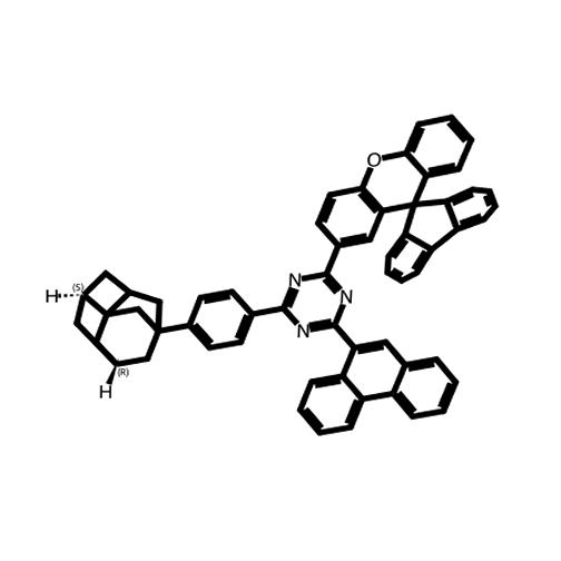 c1ccc2c(c1)Oc1ccc(-c3nc(-c4ccc(C56CC7C[C@@H]8C[C@@H](C5)CC78C6)cc4)nc(-c4cc5ccccc5c5ccccc45)n3)cc1C21c2ccccc2-c2ccccc21